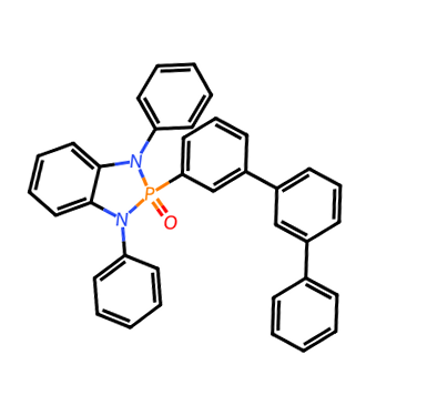 O=P1(c2cccc(-c3cccc(-c4ccccc4)c3)c2)N(c2ccccc2)c2ccccc2N1c1ccccc1